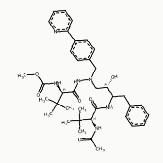 COC(=O)N[C@@H](C(=O)NN(Cc1ccc(-c2ccccn2)cc1)C[C@H](O)C(Cc1ccccc1)NC(=O)[C@@H](NC(C)=O)C(C)(C)C)C(C)(C)C